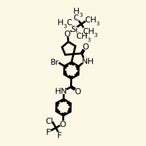 CC(C)(C)[Si](C)(C)OC1CCC2(C1)C(=O)Nc1cc(C(=O)Nc3ccc(OC(F)(F)Cl)cc3)cc(Br)c12